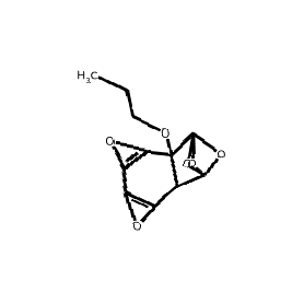 CCCOC12C3=C(O3)C3=C(O3)C1C13OC2(O1)O3